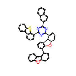 C1=CC2Oc3c(-c4cccc5oc6ccccc6c45)cccc3C2C(c2nc(-c3ccc4ccccc4c3)nc(-c3cccc4c3sc3ccccc34)n2)=C1